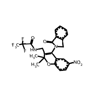 CC1(C)Oc2ccc([N+](=O)[O-])cc2C(N2Cc3ccccc3C2=O)=C1CNC(=O)C(F)(F)C(F)(F)F